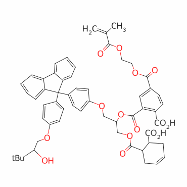 C=C(C)C(=O)OCCOC(=O)c1ccc(C(=O)O)c(C(=O)OC(COC(=O)C2CC=CCC2C(=O)O)COc2ccc(C3(c4ccc(OCC(O)C(C)(C)C)cc4)c4ccccc4-c4ccccc43)cc2)c1